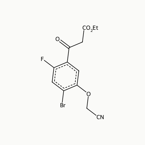 CCOC(=O)CC(=O)c1cc(OCC#N)c(Br)cc1F